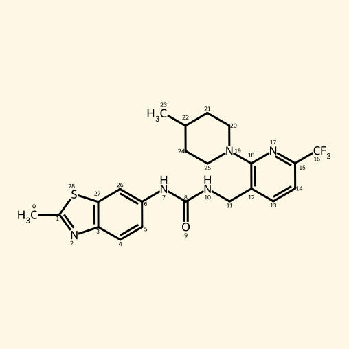 Cc1nc2ccc(NC(=O)NCc3ccc(C(F)(F)F)nc3N3CCC(C)CC3)cc2s1